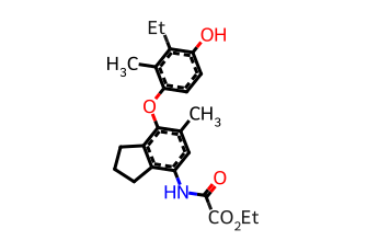 CCOC(=O)C(=O)Nc1cc(C)c(Oc2ccc(O)c(CC)c2C)c2c1CCC2